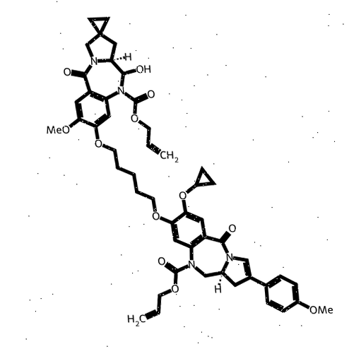 C=CCOC(=O)N1C[C@@H]2CC(c3ccc(OC)cc3)=CN2C(=O)c2cc(OC3CC3)c(OCCCCCOc3cc4c(cc3OC)C(=O)N3CC5(CC5)C[C@H]3C(O)N4C(=O)OCC=C)cc21